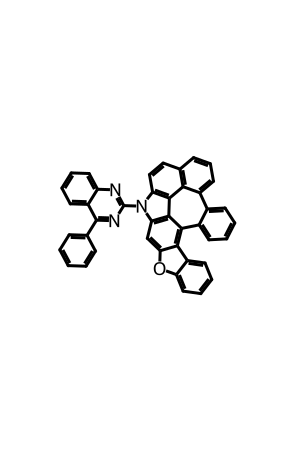 c1ccc(-c2nc(-n3c4cc5oc6ccccc6c5c5c4c4c6c(cccc6ccc43)-c3ccccc3-5)nc3ccccc23)cc1